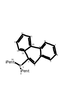 CCCC(C)P(c1cc2ccccc2c2ccccc12)C(C)CCC